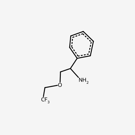 NC(COCC(F)(F)F)c1ccccc1